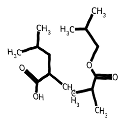 CC(C)CC(C)C(=O)O.CC(C)COC(=O)C(C)C